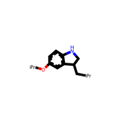 CC(C)CC1CNc2ccc(OC(C)C)cc21